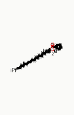 CC(C)CCCCCCCCCCCCCCCCCCCOC(=O)c1ccccc1C(=O)O